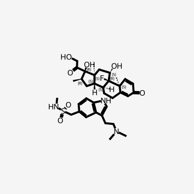 CNS(=O)(=O)Cc1ccc2[nH]cc(CCN(C)C)c2c1.C[C@@H]1C[C@H]2[C@@H]3CCC4=CC(=O)C=C[C@]4(C)[C@@]3(F)[C@@H](O)C[C@]2(C)[C@@]1(O)C(=O)CO